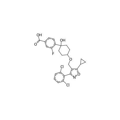 O=C(O)c1ccc(C2(O)CCC(OCc3c(-c4c(Cl)cccc4Cl)noc3C3CC3)CC2)c(F)c1